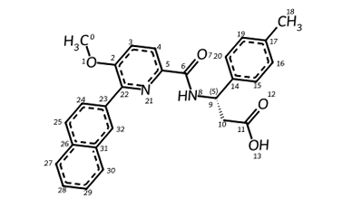 COc1ccc(C(=O)N[C@@H](CC(=O)O)c2ccc(C)cc2)nc1-c1ccc2ccccc2c1